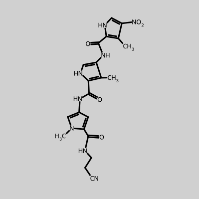 Cc1c(NC(=O)c2[nH]cc([N+](=O)[O-])c2C)c[nH]c1C(=O)Nc1cc(C(=O)NCCC#N)n(C)c1